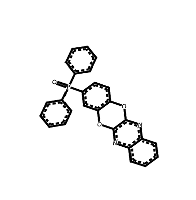 O=P(c1ccccc1)(c1ccccc1)c1ccc2c(c1)Oc1nc3ccccc3nc1O2